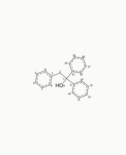 OC(Cc1[c]cccc1)(c1ccccc1)c1ccccc1